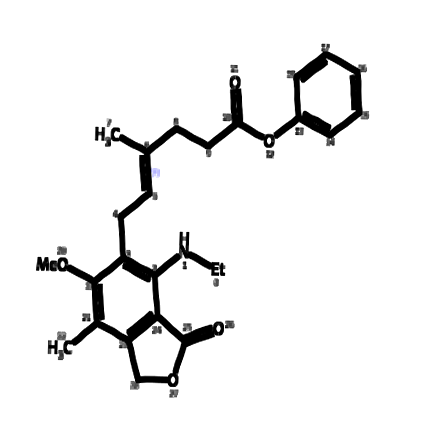 CCNc1c(C/C=C(\C)CCC(=O)Oc2ccccc2)c(OC)c(C)c2c1C(=O)OC2